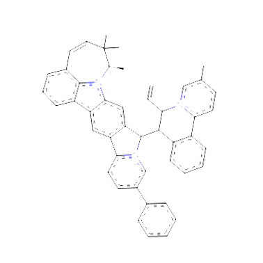 C=CC1C(C2c3cc4c(cc3-c3ccc(-c5ccccc5)c[n+]32)c2cccc3c2n4[C@H](C)C(C)(C)C=C3)c2ccccc2-c2ccc(C)c[n+]21